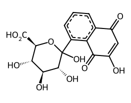 O=C1C=C(O)C(=O)c2c1cccc2C1(O)O[C@H](C(=O)O)[C@@H](O)[C@H](O)[C@H]1O